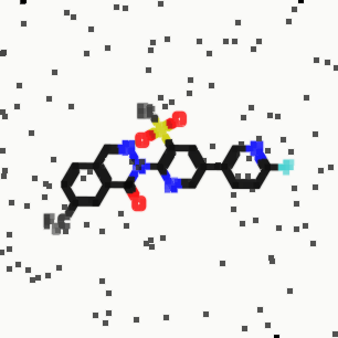 CCS(=O)(=O)c1cc(-c2ccc(F)nc2)cnc1-n1ncc2ccc(C(F)(F)F)cc2c1=O